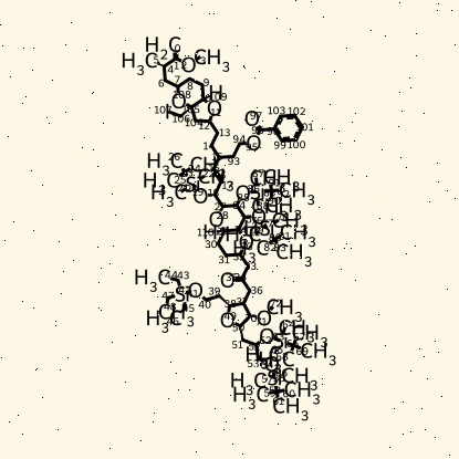 C=C(OC)[C@H](C)CC1CC[C@@H]2OC(CCC(/C=C/[C@H](O[Si](C)(C)C(C)(C)C)[C@@H]3O[C@H]4CCC(CC(=O)CC5[C@H](CCO[Si](CC)(CC)CC)O[C@H](CC(CO[Si](C)(C)C(C)(C)C)O[Si](C)(C)C(C)(C)C)[C@@H]5OC)O[C@@H]4C(O[Si](C)(C)C(C)(C)C)C3O[Si](C)(C)C(C)(C)C)CCOC(=O)c3ccccc3)C[C@]2(CI)O1